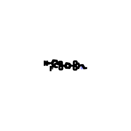 C/C=C/C1COC(c2ccc(C(=O)Oc3ccc(C#N)c(F)c3)cc2)OC1